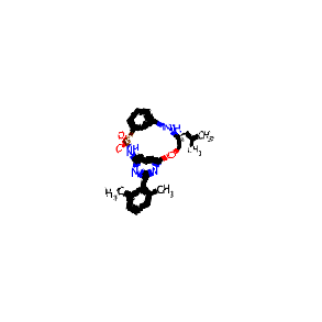 Cc1cccc(C)c1-c1nc2cc(n1)OC[C@@H](CC(C)C)Nc1cccc(c1)S(=O)(=O)N2